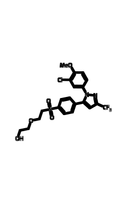 COc1ccc(-n2nc(C(F)(F)F)cc2-c2ccc(S(=O)(=O)CCOCCO)cc2)cc1Cl